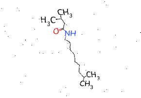 CC(C)CCCCCCCNC(=O)CC(C)C